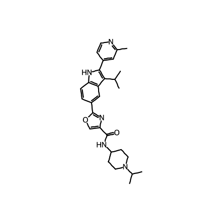 Cc1cc(-c2[nH]c3ccc(-c4nc(C(=O)NC5CCN(C(C)C)CC5)co4)cc3c2C(C)C)ccn1